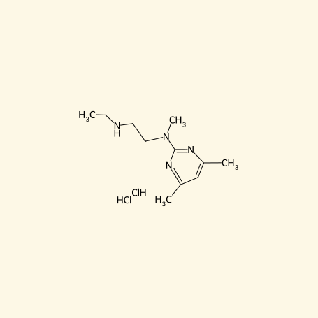 CCNCCN(C)c1nc(C)cc(C)n1.Cl.Cl